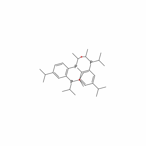 CC(C)c1ccc(P(c2ccc(C(C)C)cc2P(C(C)C)C(C)C)C(C)C)c(P(C(C)C)C(C)C)c1